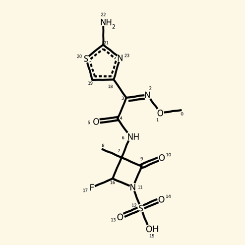 CON=C(C(=O)NC1(C)C(=O)N(S(=O)(=O)O)C1F)c1csc(N)n1